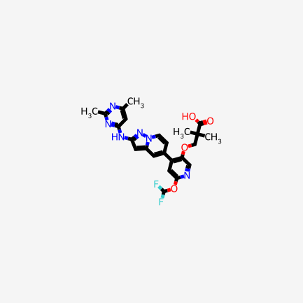 Cc1cc(Nc2cc3cc(-c4cc(OC(F)F)ncc4OCC(C)(C)C(=O)O)ccn3n2)nc(C)n1